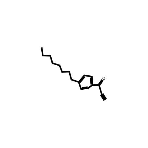 C#CC(=O)c1ccc(CCCCCCCC)cc1